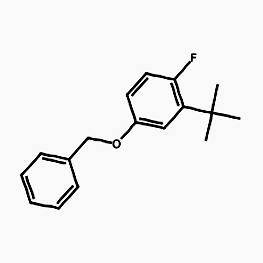 CC(C)(C)c1cc(OCc2ccccc2)ccc1F